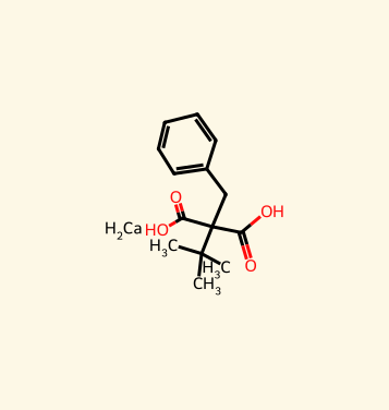 CC(C)(C)C(Cc1ccccc1)(C(=O)O)C(=O)O.[CaH2]